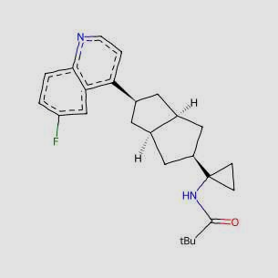 CC(C)(C)C(=O)NC1([C@H]2C[C@H]3C[C@@H](c4ccnc5ccc(F)cc45)C[C@H]3C2)CC1